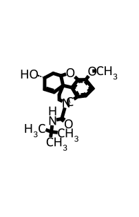 COc1ccc2c3c1OC1C[C@@H](O)C=CC31CCN(C(=O)NC(C)(C)C)C2